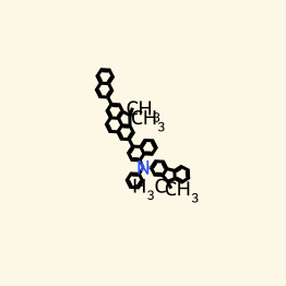 CC1(C)c2ccccc2-c2ccc(N(c3ccccc3)c3ccc(-c4cc5c6c(ccc7cc(-c8ccc9ccccc9c8)cc(c76)C5(C)C)c4)c4ccccc34)cc21